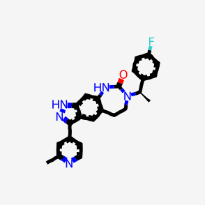 Cc1cc(-c2n[nH]c3cc4c(cc23)CCN([C@H](C)c2ccc(F)cc2)C(=O)N4)ccn1